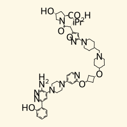 CC(C)[C@@H](C(=O)N1C[C@H](O)C[C@H]1C(=O)O)c1cc(N2CCC(CN3CCC(O[C@H]4C[C@H](Oc5cc(N6CCN(c7cc(-c8ccccc8O)nnc7N)CC6)ccn5)C4)CC3)CC2)no1